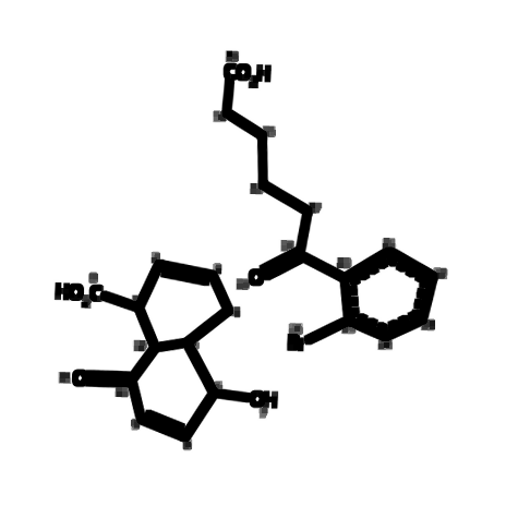 O=C(O)C1C=CCC2C(O)C=CC(=O)C12.O=C(O)CCCCC(=O)c1ccccc1Br